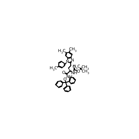 Cc1ccc(-n2c(CC[C@@H](NC(=O)OC(C)(C)C)C(=O)NOC(c3ccccc3)(c3ccccc3)c3ccccc3)nc3cc(C)c(C)cc32)cc1